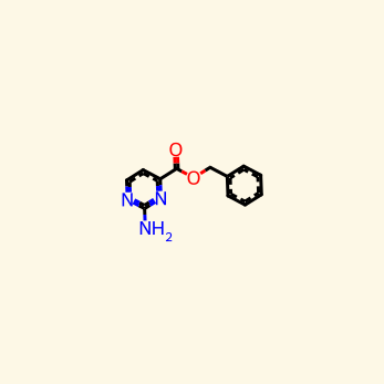 Nc1nccc(C(=O)OCc2ccccc2)n1